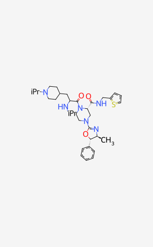 CC(C)NC(CC1CCN(C(C)C)CC1)C(=O)N1CCN(C2=N[C@@H](C)[C@H](c3ccccc3)O2)C[C@H]1C(=O)NCc1cccs1